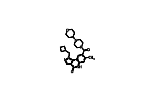 Cc1cc2[nH]c(=O)c3cnn(CC4CCC4)c3c2cc1C(=O)N1CCN(C2CCOCC2)CC1